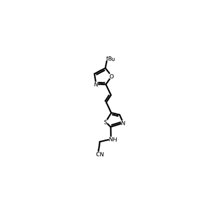 CC(C)(C)c1cnc(C=Cc2cnc(NCC#N)s2)o1